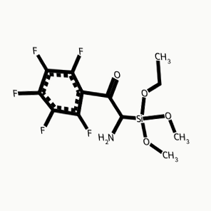 CCO[Si](OC)(OC)C(N)C(=O)c1c(F)c(F)c(F)c(F)c1F